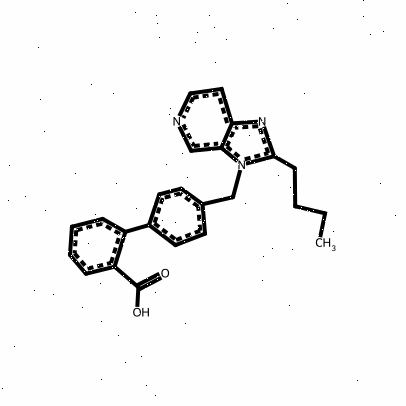 CCCCc1nc2ccncc2n1Cc1ccc(-c2ccccc2C(=O)O)cc1